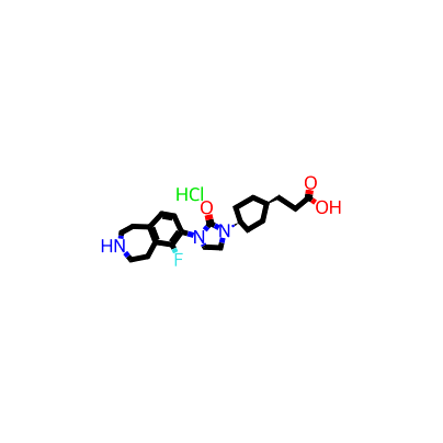 Cl.O=C(O)CC[C@H]1CC[C@H](N2CCN(c3ccc4c(c3F)CCNCC4)C2=O)CC1